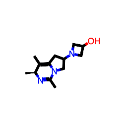 CC1=N[C@@H](C)C(C)=C2CC(N3CC(O)C3)CN12